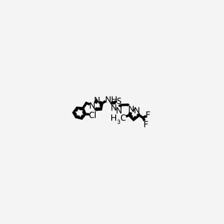 Cc1cc(C(F)F)nn1Cc1nnc(Nc2ccn(Cc3ccccc3Cl)n2)s1